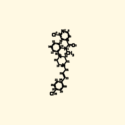 CN(C(=O)c1ccnc(Cl)c1)c1ccccc1N1CCN(CC=Cc2ccc(Cl)cc2)CC1